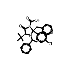 CC(c1ccccc1)N1[C@@H](C(C)(C)C)C(=O)N(C(=O)O)[C@]1(Cc1ccccc1)c1ccc(Cl)c(Cl)c1